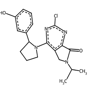 CC(C)N1Cc2c(nc(Cl)nc2N2CCCC2c2cccc(O)c2)C1=O